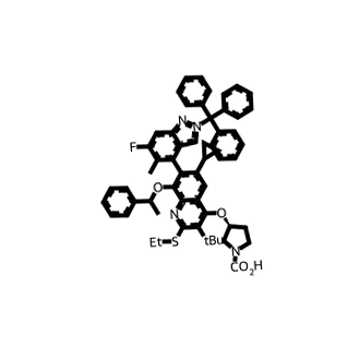 CCSc1nc2c(OC(C)c3ccccc3)c(-c3c(C)c(F)cc4nn(C(c5ccccc5)(c5ccccc5)c5ccccc5)cc34)c(C3CC3)cc2c(O[C@H]2CCN(C(=O)O)C2)c1C(C)(C)C